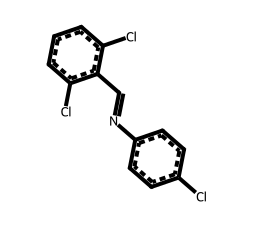 Clc1ccc(/N=C/c2c(Cl)cccc2Cl)cc1